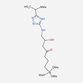 CNC(C(=O)O)c1nnc(NCC(O)CC(=O)CCC[Si](OC)(OC)OC)[nH]1